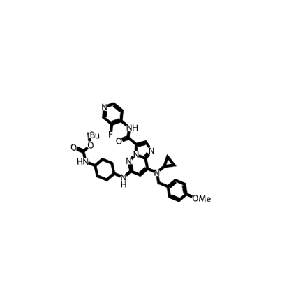 COc1ccc(CN(c2cc(NC3CCC(NC(=O)OC(C)(C)C)CC3)nn3c(C(=O)Nc4ccncc4F)cnc23)C2CC2)cc1